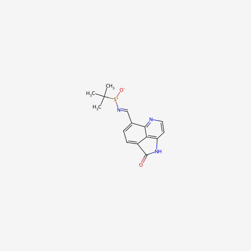 CC(C)(C)[S+]([O-])/N=C/c1ccc2c3c(ccnc13)NC2=O